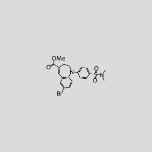 COC(=O)C1=Cc2cc(Br)ccc2N(c2ccc(S(=O)(=O)N(C)C)cc2)CC1